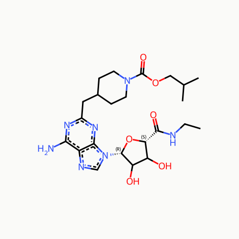 CCNC(=O)[C@H]1O[C@@H](n2cnc3c(N)nc(CC4CCN(C(=O)OCC(C)C)CC4)nc32)C(O)C1O